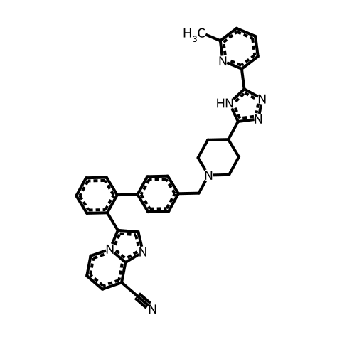 Cc1cccc(-c2nnc(C3CCN(Cc4ccc(-c5ccccc5-c5cnc6c(C#N)cccn56)cc4)CC3)[nH]2)n1